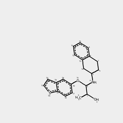 CC(O)C(NC1CCc2ccccc2C1)Oc1ccc2sccc2c1